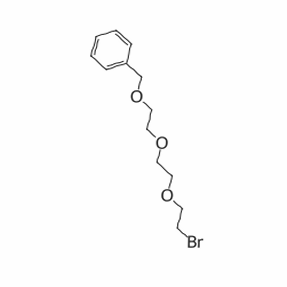 BrCCOCCOCCOCc1ccccc1